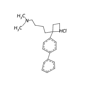 CN(C)CCCCC1(c2ccc(-c3ccccc3)cc2)CCC1.Cl